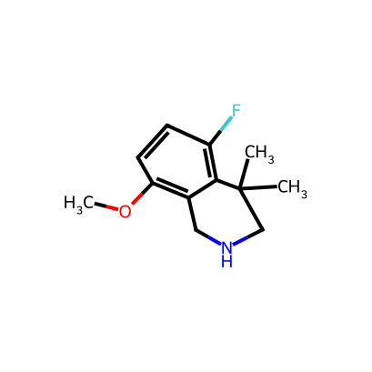 COc1ccc(F)c2c1CNCC2(C)C